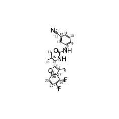 Cc1c(C(NC(=O)Nc2cccc(C#N)c2)C(C)C)oc2ccc(F)c(F)c12